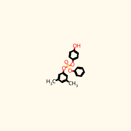 Cc1cc(C)cc(OP(=O)(Oc2ccccc2)Oc2ccc(O)cc2)c1